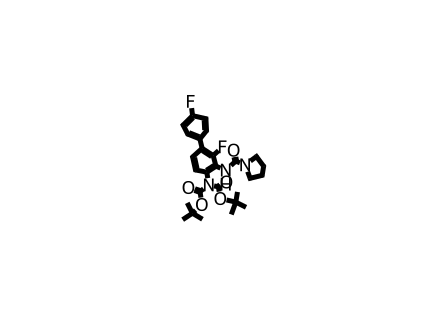 CC(C)(C)OC(=O)N(C(=O)OC(C)(C)C)c1ccc(-c2ccc(F)cc2)c(F)c1NC(=O)N1CCCC1